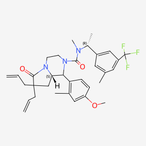 C=CCC1(CC=C)C[C@H]2C(c3ccc(OC)cc3C)N(C(=O)N(C)[C@H](C)c3cc(C)cc(C(F)(F)F)c3)CCN2C1=O